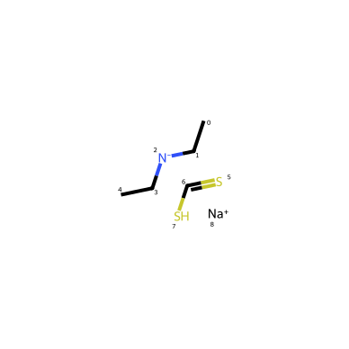 CC[N-]CC.S=CS.[Na+]